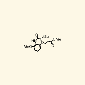 COC(=O)CCOc1cccc(OC)c1NC(=O)OC(C)(C)C